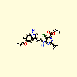 COC(=O)c1nc(C2CC2)nc(NCCc2c[nH]c3ccc(OC)cc23)c1Cl